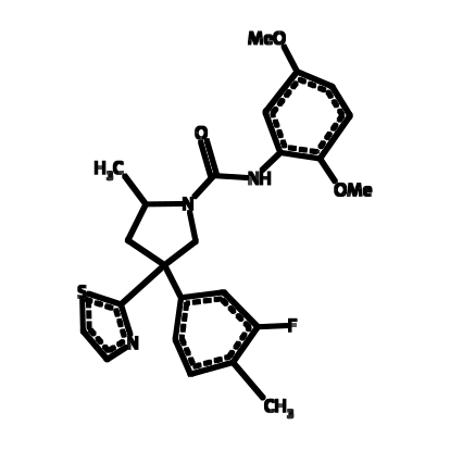 COc1ccc(OC)c(NC(=O)N2CC(c3ccc(C)c(F)c3)(c3nccs3)CC2C)c1